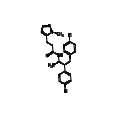 CC(NC(=O)CCc1ccnn1C)C(Cc1ccc(Cl)cc1)c1ccc(Cl)cc1